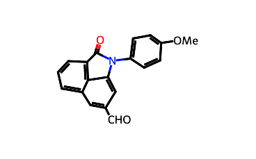 COc1ccc(N2C(=O)c3cccc4cc(C=O)cc2c34)cc1